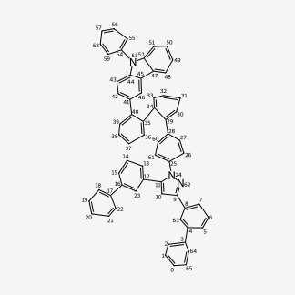 c1ccc(-c2cccc(-c3cc(-c4cccc(-c5ccccc5)c4)n(-c4ccc(-c5ccccc5-c5ccccc5-c5ccc6c(c5)c5ccccc5n6-c5ccccc5)cc4)n3)c2)cc1